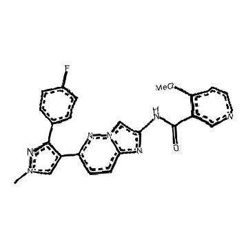 COc1ccncc1C(=O)Nc1cn2nc(-c3cn(C)nc3-c3ccc(F)cc3)ccc2n1